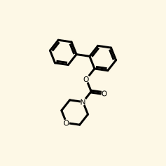 O=C(Oc1ccccc1-c1ccccc1)N1CCOCC1